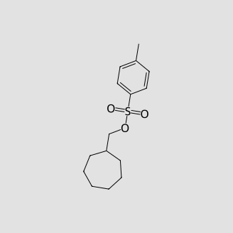 Cc1ccc(S(=O)(=O)OCC2CCCCCC2)cc1